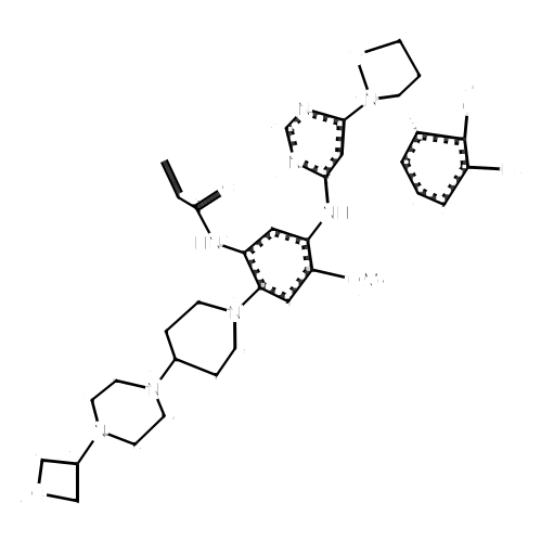 C=CC(=O)Nc1cc(Nc2cc(N3OCC[C@@H]3c3cccc(F)c3Cl)ncn2)c(OC)cc1N1CCC(N2CCN(C3COC3)CC2)CC1